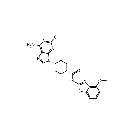 COc1cccc2sc(NC(=O)[C@H]3CC[C@@H](n4cnc5c(N)nc(Cl)nc54)CC3)nc12